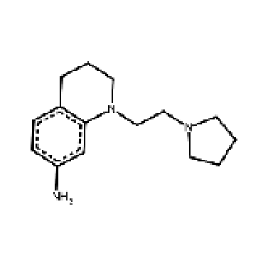 Nc1ccc2c(c1)N(CCN1CCCC1)CCC2